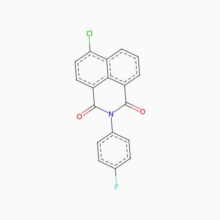 O=C1c2cccc3c(Cl)ccc(c23)C(=O)N1c1ccc(F)cc1